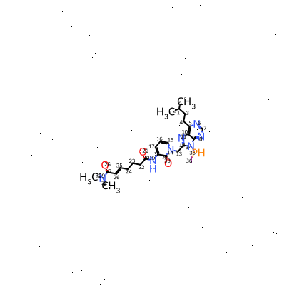 CC(C)CCc1ncnc2c1nc(Cn1cccc(NC(=O)CCC/C=C/C(=O)N(C)C)c1=O)n2PI